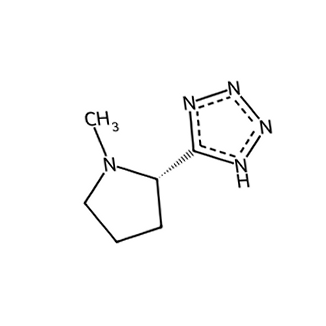 CN1CCC[C@H]1c1nnn[nH]1